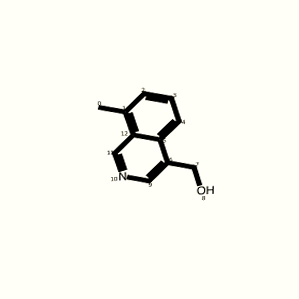 Cc1cccc2c(CO)cncc12